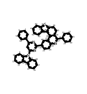 c1ccc(-c2cc(-n3c4ccccc4c4ccccc43)nc(-c3ccc4nc(-c5ccccc5)c5ccc6sc7ccccc7c6c5c4c3)n2)cc1